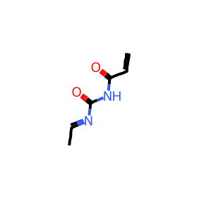 C=CC(=O)NC(=O)N=CC